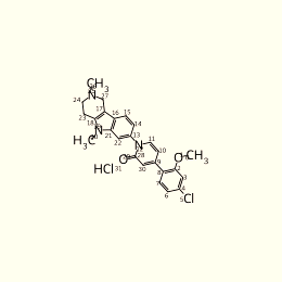 COc1cc(Cl)ccc1-c1ccn(-c2ccc3c4c(n(C)c3c2)CCN(C)C4)c(=O)c1.Cl